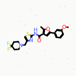 COc1cccc(-c2cc(C(=O)Nc3nc(CN4CCC(F)(F)CC4)cs3)c(C)o2)c1